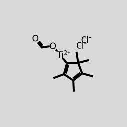 CC1=C(C)C(C)(C)[C]([Ti+2][O]C=O)=C1C.[Cl-].[Cl-]